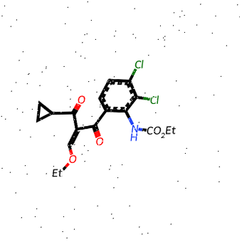 CCO/C=C(\C(=O)c1ccc(Cl)c(Cl)c1NC(=O)OCC)C(=O)C1CC1